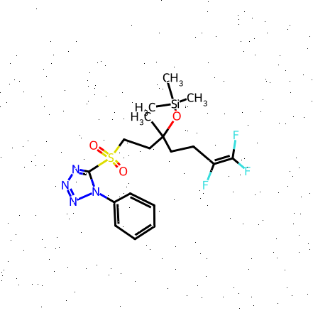 CC(CCC(F)=C(F)F)(CCS(=O)(=O)c1nnnn1-c1ccccc1)O[Si](C)(C)C